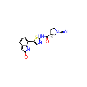 N#CN1CC[C@H](C(=O)Nc2ncc(-c3cccc4c3=NC(=O)C=4)s2)C1